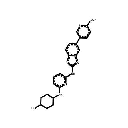 COc1ccc(-c2ccc3nc(Nc4cccc(NC5CCC(O)CC5)n4)sc3c2)cn1